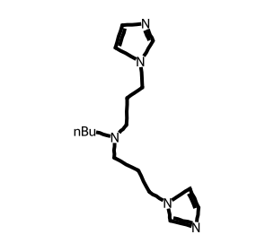 CCCCN(CCCn1ccnc1)CCCn1ccnc1